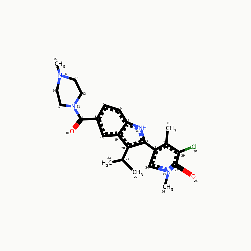 Cc1c(-c2[nH]c3ccc(C(=O)N4CCN(C)CC4)cc3c2C(C)C)cn(C)c(=O)c1Cl